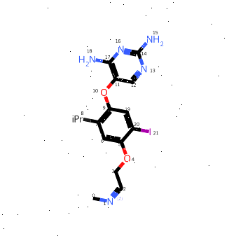 C/N=C\COc1cc(C(C)C)c(Oc2cnc(N)nc2N)cc1I